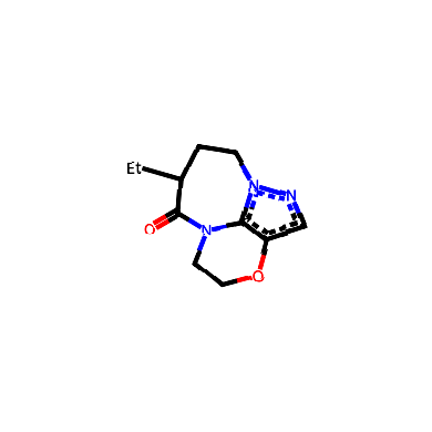 CCC1CCn2ncc3c2N(CCO3)C1=O